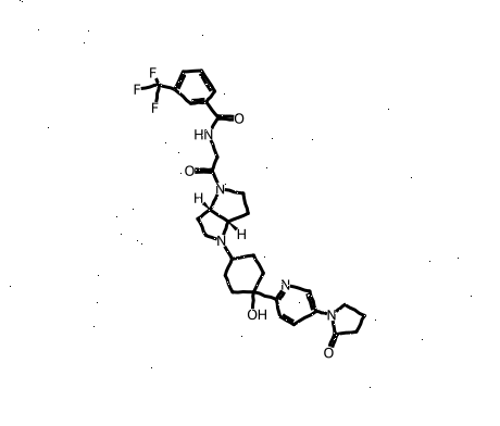 O=C(NCC(=O)N1CC[C@H]2[C@@H]1CCN2C1CCC(O)(c2ccc(N3CCCC3=O)cn2)CC1)c1cccc(C(F)(F)F)c1